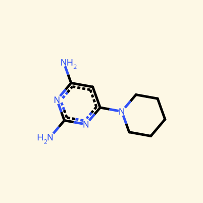 Nc1cc(N2CCCCC2)nc(N)n1